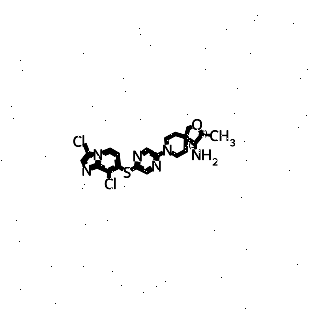 C[C@@H]1OCC2(CCN(c3cnc(Sc4ccn5c(Cl)cnc5c4Cl)cn3)CC2)[C@@H]1N